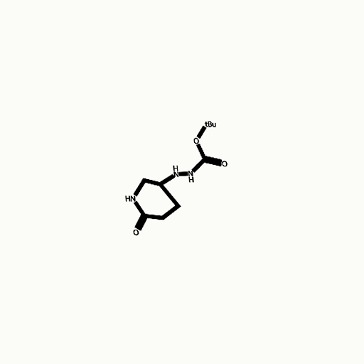 CC(C)(C)OC(=O)NNC1CCC(=O)NC1